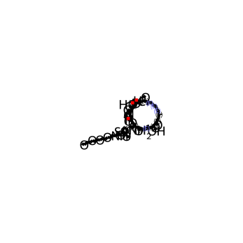 COCCOCCOCCOCCNC(=S)O[C@@H]1CC[C@@H](C[C@@H](N)[C@@H]2CC(=O)[C@H](C)/C=C(\C)[C@@H](O)[C@@H](OC)C(=O)[C@H](C)C[C@H](C)/C=C/C=C/C=C(\C)[C@@H](OC)C[C@@H]3CC[C@@H](C)[C@@](O)(O3)C(=O)C(=O)N3CCCC[C@H]3C(=O)O2)C[C@H]1OC